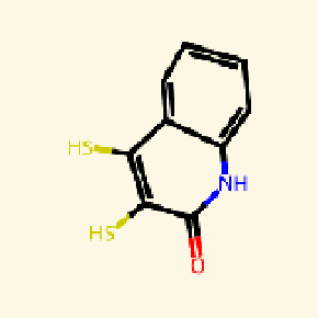 O=c1[nH]c2ccccc2c(S)c1S